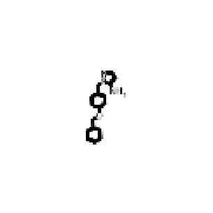 Nc1ccnn1Cc1ccc(OCc2ccccc2)cc1